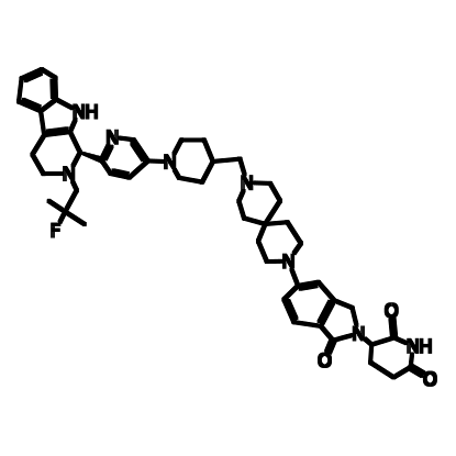 CC(C)(F)CN1CCc2c([nH]c3ccccc23)[C@H]1c1ccc(N2CCC(CN3CCC4(CC3)CCN(c3ccc5c(c3)CN(C3CCC(=O)NC3=O)C5=O)CC4)CC2)cn1